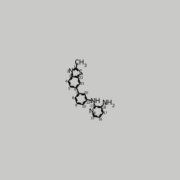 Cc1nc2ccc(-c3cccc(Nc4ncccc4N)c3)cc2s1